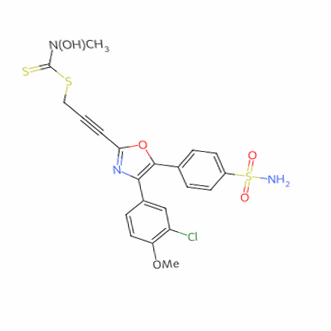 COc1ccc(-c2nc(C#CCSC(=S)N(C)O)oc2-c2ccc(S(N)(=O)=O)cc2)cc1Cl